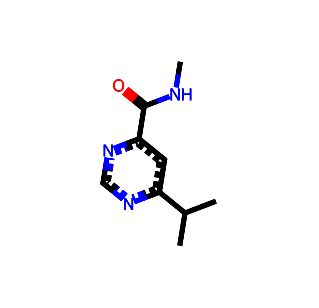 CNC(=O)c1cc(C(C)C)ncn1